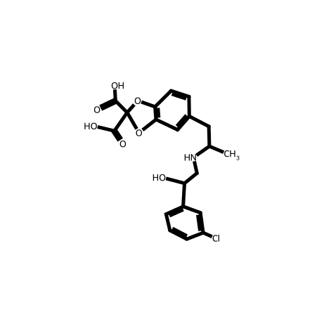 CC(Cc1ccc2c(c1)OC(C(=O)O)(C(=O)O)O2)NCC(O)c1cccc(Cl)c1